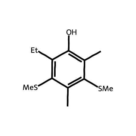 CCc1c(O)c(C)c(SC)c(C)c1SC